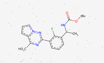 CC(NC(=O)OC(C)(C)C)c1cccc(-c2nc(C(=O)O)c3cccn3n2)c1F